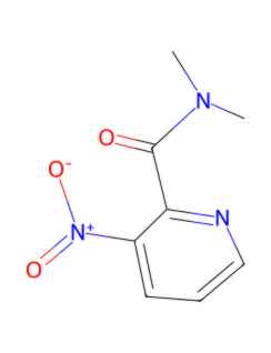 CN(C)C(=O)c1ncccc1[N+](=O)[O-]